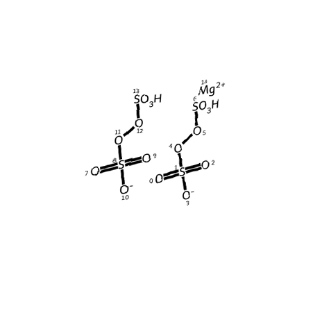 O=S(=O)([O-])OOS(=O)(=O)O.O=S(=O)([O-])OOS(=O)(=O)O.[Mg+2]